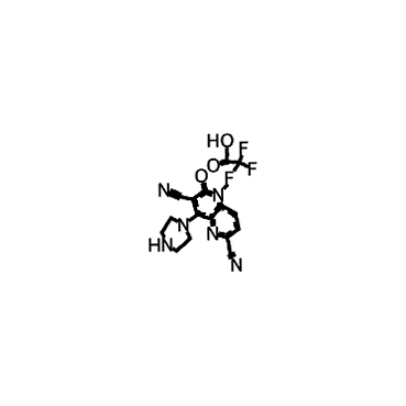 Cn1c(=O)c(C#N)c(N2CCNCC2)c2nc(C#N)ccc21.O=C(O)C(F)(F)F